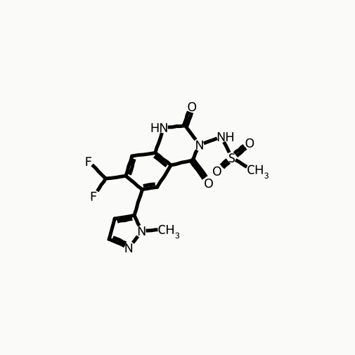 Cn1nccc1-c1cc2c(=O)n(NS(C)(=O)=O)c(=O)[nH]c2cc1C(F)F